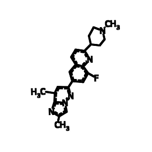 Cc1cn2nc(-c3cc(F)c4nc(C5CCN(C)CC5)ccc4c3)cc(C)c2n1